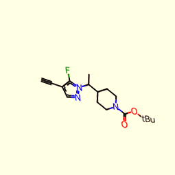 C#Cc1cnn(C(C)C2CCN(C(=O)OC(C)(C)C)CC2)c1F